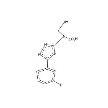 CC(C)CN(C(=O)O)c1nnc(-c2cccc(F)c2)s1